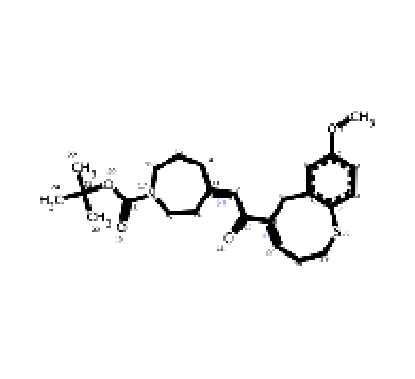 COc1ccc2c(c1)C/C(C(=O)/C=C1/CCCN(C(=O)OC(C)(C)C)CC1)=C\CCS2